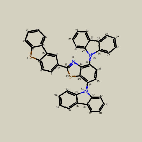 c1ccc2c(c1)sc1ccc(-c3nc4c(-n5c6ccccc6c6ccccc65)ccc(-n5c6ccccc6c6ccccc65)c4s3)cc12